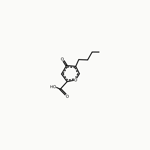 CCCCc1coc(C(=O)O)cc1=O